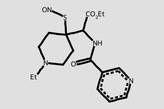 CCOC(=O)C(NC(=O)c1cccnc1)C1(SN=O)CCN(CC)CC1